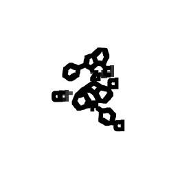 Clc1ccc(-p2c3ccc(cc3)c3cc4c(c(Cl)ccc42)[CH]3[Zr+2][CH]2C(c3ccccc3)=Cc3cccc(Cl)c32)cc1.[Cl-].[Cl-]